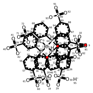 O=[CH][Rh]([PH](c1cccc(S(=O)(=O)[O-])c1)(c1cccc(S(=O)(=O)[O-])c1)c1cccc(S(=O)(=O)[O-])c1)([PH](c1cccc(S(=O)(=O)[O-])c1)(c1cccc(S(=O)(=O)[O-])c1)c1cccc(S(=O)(=O)[O-])c1)[PH](c1cccc(S(=O)(=O)[O-])c1)(c1cccc(S(=O)(=O)[O-])c1)c1cccc(S(=O)(=O)[O-])c1.[H-]